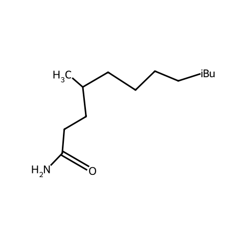 CCC(C)CCCCC(C)CCC(N)=O